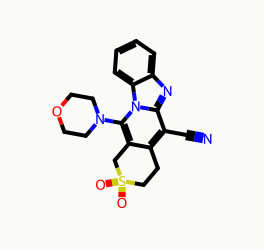 N#Cc1c2c(c(N3CCOCC3)n3c1nc1ccccc13)CS(=O)(=O)CC2